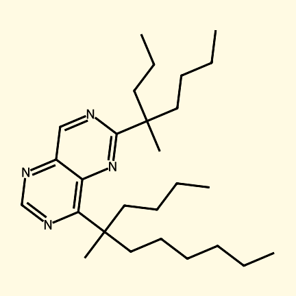 CCCCCCC(C)(CCCC)c1ncnc2cnc(C(C)(CCC)CCCC)nc12